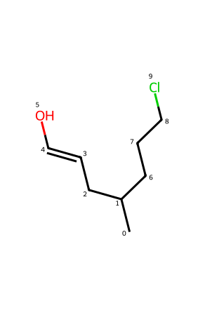 CC(CC=CO)CCCCl